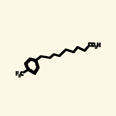 O=C(O)CCCCCCCCc1ccc(C(F)(F)F)cc1